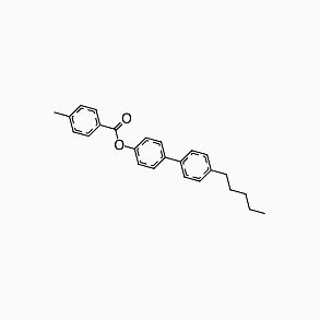 CCCCCc1ccc(-c2ccc(OC(=O)c3ccc(C)cc3)cc2)cc1